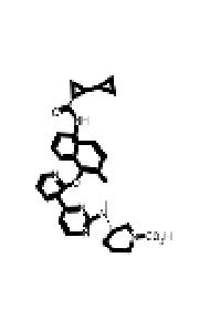 Cc1ccc2c(NC(=O)[C@@H]3CC3C3CC3)cccc2c1Oc1ncccc1-c1ccnc(N[C@H]2CCCN(C(=O)O)C2)n1